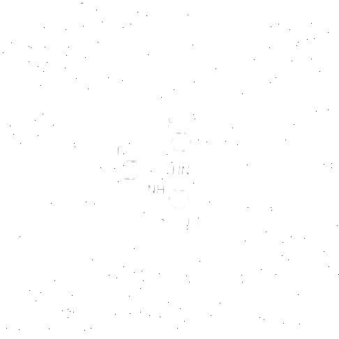 Fc1ccc(CNCc2cc(CNCc3ccc(F)cc3)cc(C3CC3)c2)cc1